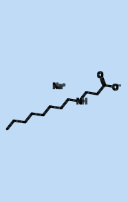 CCCCCCCCNCCC(=O)[O-].[Na+]